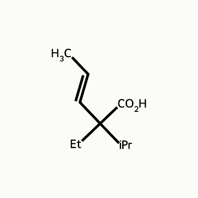 CC=CC(CC)(C(=O)O)C(C)C